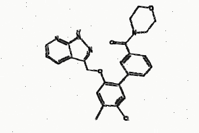 Cc1cc(OCc2n[nH]c3ncccc23)c(-c2cccc(C(=O)N3CCOCC3)c2)cc1Cl